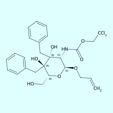 C=CCO[C@H]1O[C@H](CO)[C@](O)(Cc2ccccc2)[C@@](O)(Cc2ccccc2)[C@@H]1NC(=O)OCC(Cl)(Cl)Cl